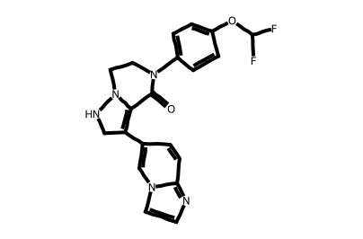 O=C1C2=C(c3ccc4nccn4c3)CNN2CCN1c1ccc(OC(F)F)cc1